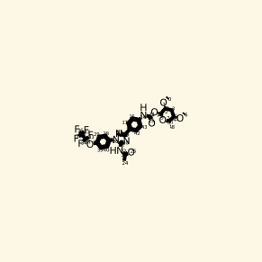 CO[C@@H]1C[C@@H](OC)[C@H](C)O[C@H]1OC(=O)Nc1ccc(-c2nc(NC(C)=O)n(-c3ccc(OC(F)(F)C(F)(F)F)cc3)n2)cc1